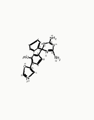 COc1cc(C2(c3ccccc3)N=C(N)N=C(N)N2)ccc1-c1cnco1